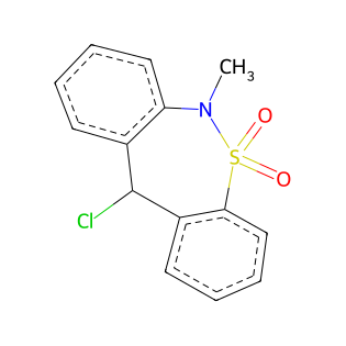 CN1c2ccccc2C(Cl)c2ccccc2S1(=O)=O